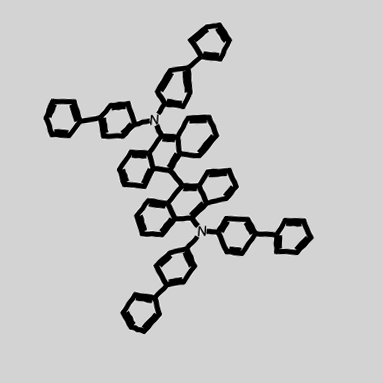 c1ccc(-c2ccc(N(c3ccc(-c4ccccc4)cc3)c3c4ccccc4c(-c4c5ccccc5c(N(c5ccc(-c6ccccc6)cc5)c5ccc(-c6ccccc6)cc5)c5ccccc45)c4ccccc34)cc2)cc1